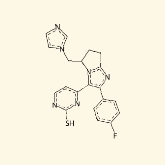 Fc1ccc(-c2nc3n(c2-c2ccnc(S)n2)C(Cn2ccnc2)CC3)cc1